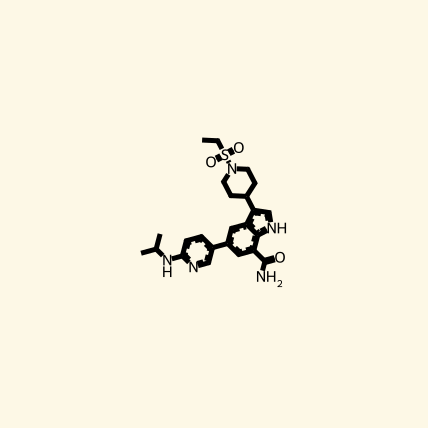 CCS(=O)(=O)N1CCC(c2c[nH]c3c(C(N)=O)cc(-c4ccc(NC(C)C)nc4)cc23)CC1